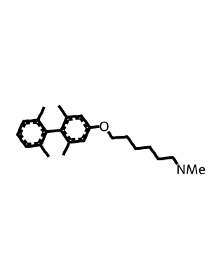 CNCCCCCCOc1cc(C)c(-c2c(C)cccc2C)c(C)c1